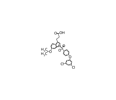 CC(C)Oc1ccc2c(CCC(=O)O)cn(S(=O)(=O)c3ccc(Oc4cc(Cl)cc(Cl)c4)cc3)c2c1